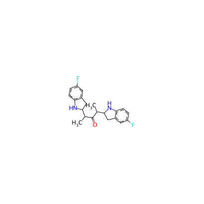 CC(C(=O)C(C)C1Cc2cc(F)ccc2N1)C1Cc2cc(F)ccc2N1